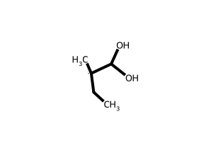 CC[C](C)C(O)O